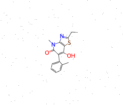 CCc1nc2c(s1)c(O)c(-c1ccccc1C)c(=O)n2C